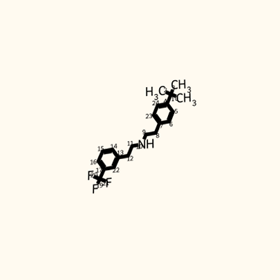 CC(C)(C)c1ccc(CCNCCc2cccc(C(F)(F)F)c2)cc1